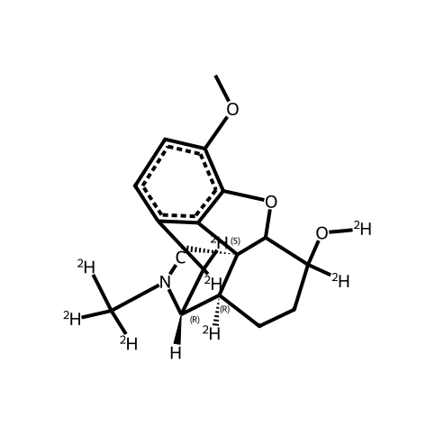 [2H]OC1([2H])CC[C@@]2([2H])[C@@H]3N(C([2H])([2H])[2H])CC[C@@]24c2c(ccc(OC)c2OC14)C3([2H])[2H]